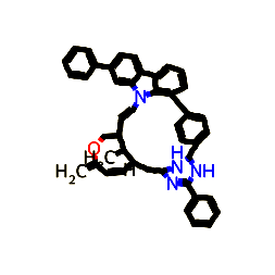 C=C1/C=C\[C@H]2CC3N=C(c4ccccc4)NC(N3)c3ccc(cc3)-c3cccc4c5ccc(-c6ccccc6)cc5n(c34)/C=C/C(CO1)C2C